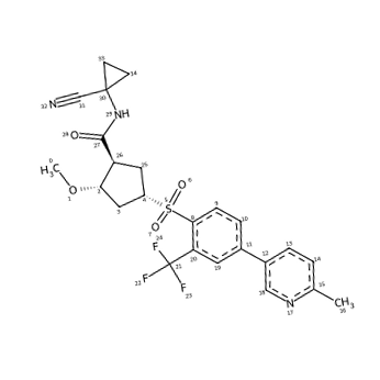 CO[C@H]1C[C@@H](S(=O)(=O)c2ccc(-c3ccc(C)nc3)cc2C(F)(F)F)C[C@@H]1C(=O)NC1(C#N)CC1